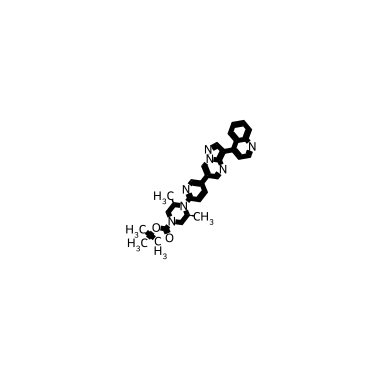 C[C@@H]1CN(C(=O)OC(C)(C)C)C[C@H](C)N1c1ccc(-c2cnc3c(-c4ccnc5ccccc45)cnn3c2)cn1